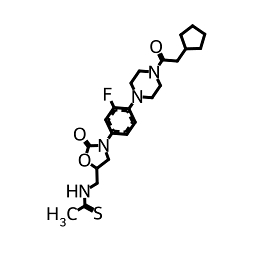 CC(=S)NCC1CN(c2ccc(N3CCN(C(=O)CC4CCCC4)CC3)c(F)c2)C(=O)O1